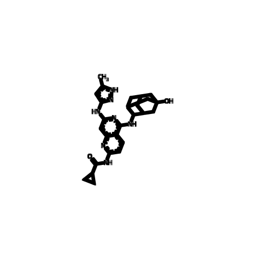 Cc1cc(Nc2cc3nc(NC(=O)C4CC4)ccc3c(NC3C4CC5CC3CC(O)(C5)C4)n2)n[nH]1